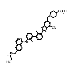 Cc1c(Nc2nccc3cc(CN[C@H](C)CO)cnc23)cccc1-c1cccc(-c2nc3cc(CN4CCC(C(=O)O)CC4)cc(C#N)c3o2)c1C